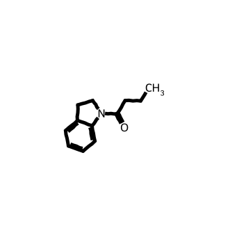 CCCC(=O)N1CCc2ccccc21